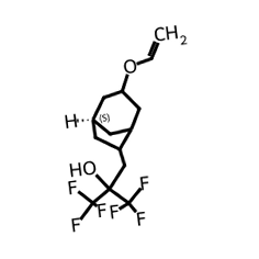 C=COC1CC2C[C@H](C1)CC2CC(O)(C(F)(F)F)C(F)(F)F